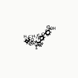 CCCC1(N(C)C(=O)OCc2c(-c3ccc(O[C@H]4CCC[C@H](C(=O)O)C4)c(C)n3)nnn2CI)CCC1